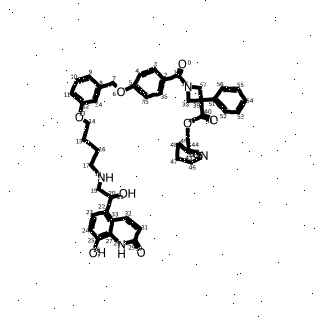 O=C(c1ccc(OCc2cccc(OCCCCNCC(O)c3ccc(O)c4[nH]c(=O)ccc34)c2)cc1)N1CC(C(=O)OC2CN3CCC2CC3)(c2ccccc2)C1